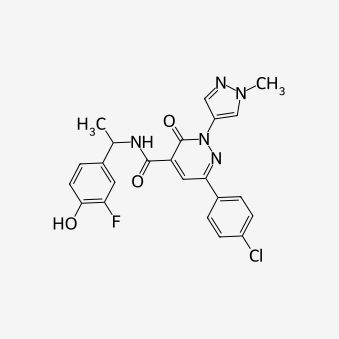 CC(NC(=O)c1cc(-c2ccc(Cl)cc2)nn(-c2cnn(C)c2)c1=O)c1ccc(O)c(F)c1